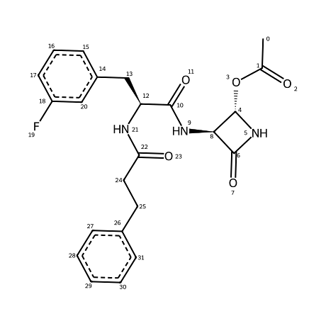 CC(=O)O[C@@H]1NC(=O)[C@H]1NC(=O)[C@H](Cc1cccc(F)c1)NC(=O)CCc1ccccc1